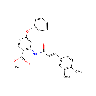 COc1ccc(C=CC(=O)Nc2cc(Oc3ccccc3)ccc2C(=O)OC(C)(C)C)cc1OC